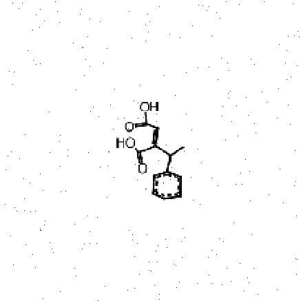 CC(C(=CC(=O)O)C(=O)O)c1ccccc1